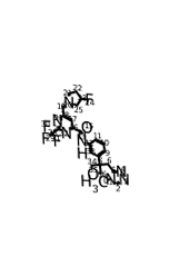 Cn1cnnc1CC1(c2cccc(NC(=O)c3cc(CN4CCC(F)C4)nc(C(F)(F)F)n3)c2)COC1